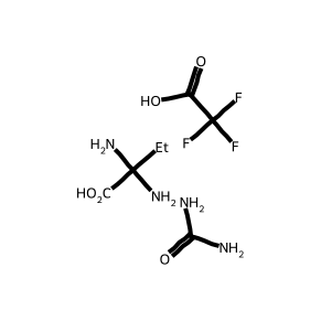 CCC(N)(N)C(=O)O.NC(N)=O.O=C(O)C(F)(F)F